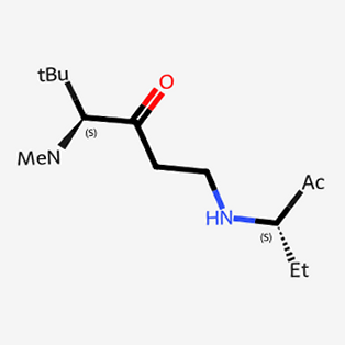 CC[C@H](NCCC(=O)[C@@H](NC)C(C)(C)C)C(C)=O